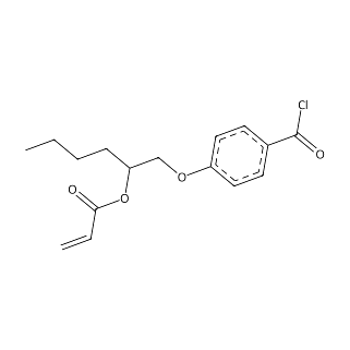 C=CC(=O)OC(CCCC)COc1ccc(C(=O)Cl)cc1